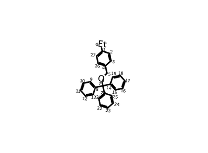 CCc1ccc(COC(c2ccccc2)(c2ccccc2)c2ccccc2)cc1